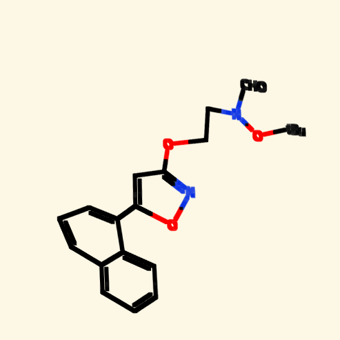 CC(C)(C)ON(C=O)CCOc1cc(-c2cccc3ccccc23)on1